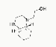 OCCN1CCN[C@@H]2CCCC[C@H]21